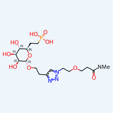 CNC(=O)CCOCCn1cc(CCO[C@H]2O[C@H](CCP(=O)(O)O)[C@@H](O)[C@H](O)[C@@H]2O)nn1